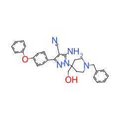 N#Cc1c(-c2ccc(Oc3ccccc3)cc2)nn(C2(CO)CCN(Cc3ccccc3)CC2)c1N